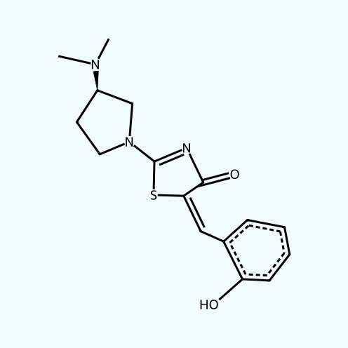 CN(C)[C@@H]1CCN(C2=NC(=O)/C(=C\c3ccccc3O)S2)C1